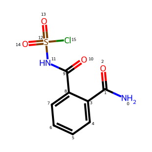 NC(=O)c1ccccc1C(=O)NS(=O)(=O)Cl